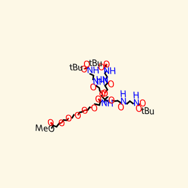 COC(=O)CCOCCOCCOCCOCCOCCC(=O)NC(COCCC(=O)NCCCNC(=O)OC(C)(C)C)(COCCC(=O)NCCCNC(=O)OC(C)(C)C)COCCC(=O)NCCNC(=O)OC(C)(C)C